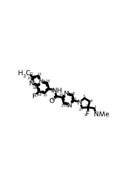 CNCC1(F)CCN(c2cnc(C(=O)Nc3cc(F)c4nc(C)cn4c3)cn2)C1